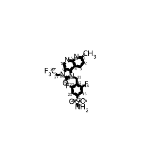 Cc1ccc2c(ncc3c2n(Cc2c(F)cc(S(N)(=O)=O)cc2F)c(=O)n3CC(F)(F)F)n1